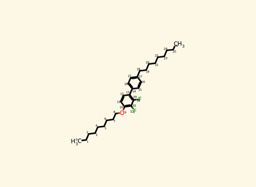 CCCCCCCCCOc1ccc(-c2ccc(CCCCCCCCC)cc2)c(F)c1F